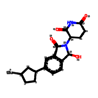 CC(C)(C)C1CCC(c2ccc3c(c2)C(=O)N(C2CCC(=O)NC2=O)C3O)C1